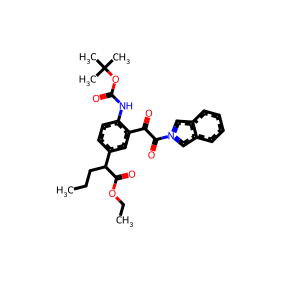 CCCC(C(=O)OCC)c1ccc(NC(=O)OC(C)(C)C)c(C(=O)C(=O)n2cc3ccccc3c2)c1